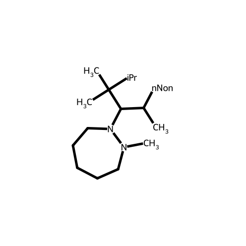 CCCCCCCCCC(C)C(N1CCCCCN1C)C(C)(C)C(C)C